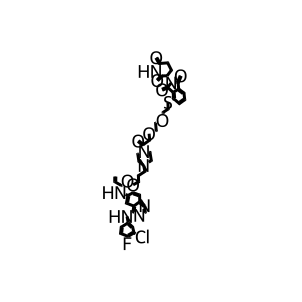 C=CC(=O)Nc1cc2c(Nc3ccc(F)c(Cl)c3)ncnc2cc1OCCCN1CCN(C(=O)COCCOCCSc2cccc3c2C(=O)N(C2CCC(=O)NC2=O)C3=O)CC1